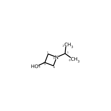 CC(C)N1C[C](O)C1